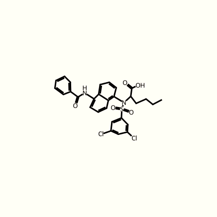 CCCCC(C(=O)O)N(c1cccc2c(NC(=O)c3ccccc3)cccc12)S(=O)(=O)c1cc(Cl)cc(Cl)c1